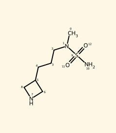 CN(CCCC1CNC1)S(N)(=O)=O